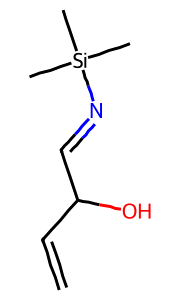 C=CC(O)C=N[Si](C)(C)C